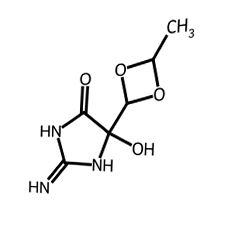 CC1OC(C2(O)NC(=N)NC2=O)O1